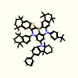 CC(C)(C)c1ccc(N2c3cc4c(cc3B3c5sc6cc7c(cc6c5N(c5ccc6c(c5)C(C)(C)CCC6(C)C)c5cc(N6c8ccc(-c9ccccc9)cc8C8(C)CCCCC68C)cc2c53)C(C)(C)CCC7(C)C)C(C)(C)CCC4(C)C)cc1